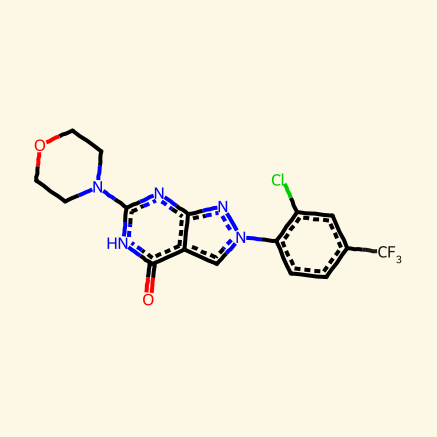 O=c1[nH]c(N2CCOCC2)nc2nn(-c3ccc(C(F)(F)F)cc3Cl)cc12